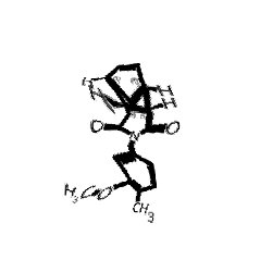 COc1cc(N2C(=O)[C@@H]3[C@H](C2=O)[C@@H]2C=C[C@H]3C2)ccc1C